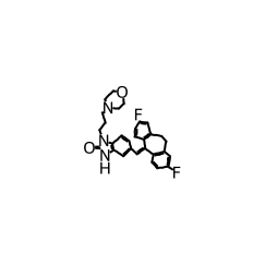 O=c1[nH]c2cc(C=C3c4ccc(F)cc4CCc4cc(F)ccc43)ccc2n1CCCN1CCOCC1